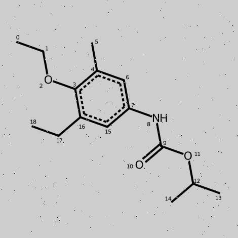 CCOc1c(C)cc(NC(=O)OC(C)C)cc1CC